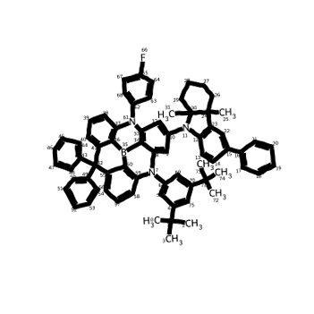 CC(C)(C)c1cc(N2c3cc(N4c5ccc(-c6ccccc6)cc5C5(C)CCCCC45C)cc4c3B3c5c(cccc5C(c5ccccc5)(c5ccccc5)c5cccc2c53)N4c2ccc(F)cc2)cc(C(C)(C)C)c1